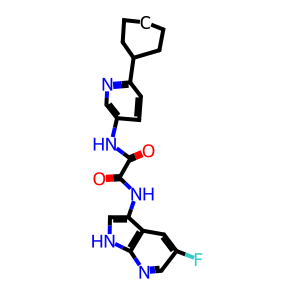 O=C(Nc1ccc(C2CCCCC2)nc1)C(=O)Nc1c[nH]c2ncc(F)cc12